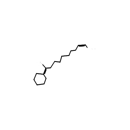 CCCCCCCC/C=C\CCCCCCCC(N)=C1CCCCC1